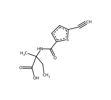 C#Cc1ccc(C(=O)NC(C)(CC)C(=O)O)s1